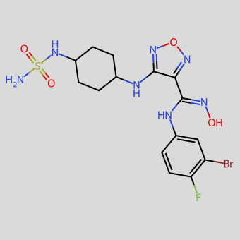 NS(=O)(=O)NC1CCC(Nc2nonc2/C(=N/O)Nc2ccc(F)c(Br)c2)CC1